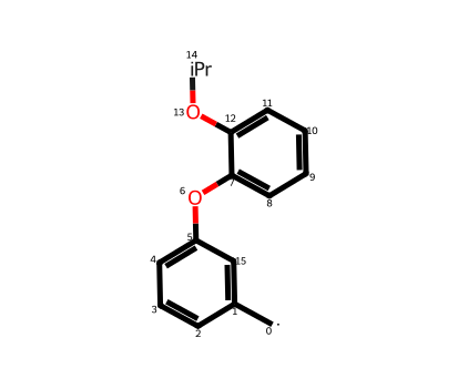 [CH2]c1cccc(Oc2ccccc2OC(C)C)c1